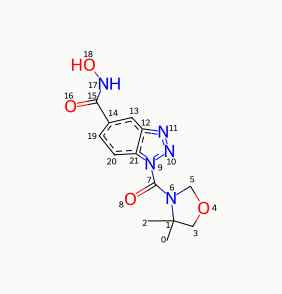 CC1(C)COCN1C(=O)n1nnc2cc(C(=O)NO)ccc21